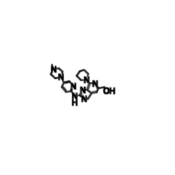 CN1CCN(c2ccc(Nc3ncc4cc(CO)nc(N5CCCCC5)c4n3)nc2)CC1